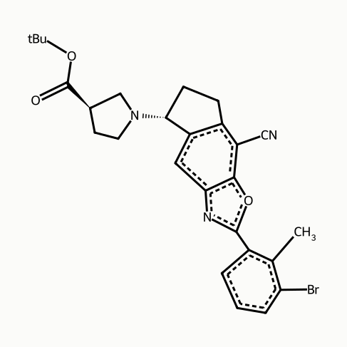 Cc1c(Br)cccc1-c1nc2cc3c(c(C#N)c2o1)CC[C@H]3N1CC[C@@H](C(=O)OC(C)(C)C)C1